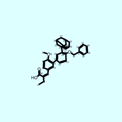 CCC(=Cc1ccc(OC)c(-c2ccc(OCc3ccccc3)c(C34CC5CC(CC(C5)C3)C4)c2)c1)C(=O)O